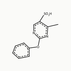 Cc1nc(Oc2ccccc2)ncc1S(=O)(=O)O